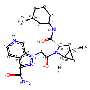 NC(=O)c1nn(CC(=O)N2[C@@H]3C[C@@H]3C[C@H]2C(=O)NC2CCC[C@H](C(F)(F)F)C2)c2cnccc12